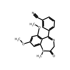 COc1cc(OC)c2c(c1)N(C)C(=O)CN=C2c1cccc(C#N)c1